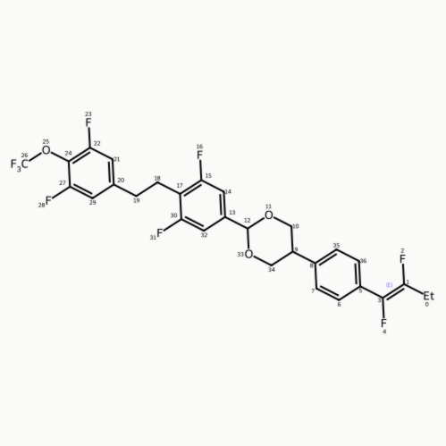 CC/C(F)=C(\F)c1ccc(C2COC(c3cc(F)c(CCc4cc(F)c(OC(F)(F)F)c(F)c4)c(F)c3)OC2)cc1